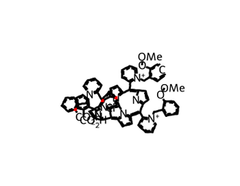 COOc1ccccc1C[n+]1ccccc1/C1=C2\C=CC(=N2)/C(c2cccc[n+]2Cc2ccccc2OOC)=c2/cc/c3n2C(Cl)n2c1ccc2/C(c1cccc[n+]1Cc1ccccc1C(=O)O)=C1/C=CC(=N1)/C=3c1cccc[n+]1Cc1ccccc1C(=O)O